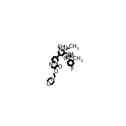 CCOC1C(NS(=O)(=O)c2ccc(F)cc2C)=CC(c2ccc3ncc(OCCN4CCOCC4)c(=O)n3c2)=CN1C